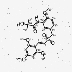 COc1cc(OC)c(C=CS(=O)(=O)Cc2ccc(OC)c(NC(=O)C(C)(C)O)c2)c(OC)c1